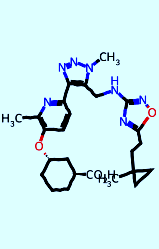 Cc1nc(-c2nnn(C)c2CNc2noc(CCC3(C)CC3)n2)ccc1O[C@H]1CCC[C@H](C(=O)O)C1